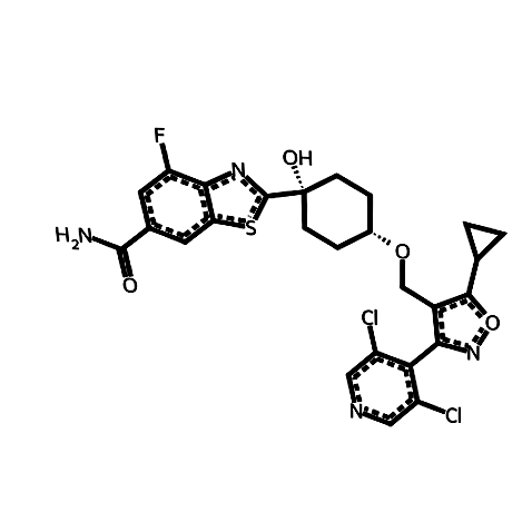 NC(=O)c1cc(F)c2nc([C@]3(O)CC[C@@H](OCc4c(-c5c(Cl)cncc5Cl)noc4C4CC4)CC3)sc2c1